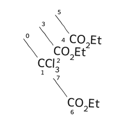 CC(Cl)(Cl)Cl.CCOC(C)=O.CCOC(C)=O.CCOC(C)=O